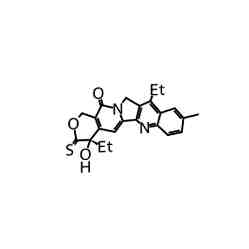 CCc1c2c(nc3ccc(C)cc13)-c1cc3c(c(=O)n1C2)COC(=S)[C@]3(O)CC